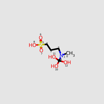 CN(CCCS(=O)(=O)O)C(O)(O)O